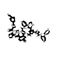 N#Cc1ccc(-c2nc(C(=O)Nc3cnccc3N3CCNC(c4ccc(C#N)cc4-c4nc(C(=O)Nc5cnccc5N5CCNC(c6cc(-c7nc(C(=O)Nc8cnccc8N8CCNCC8)cs7)cc(C(F)(F)F)c6)C5)cs4)C3)cs2)cc1